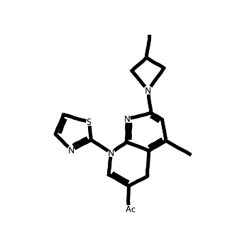 CC(=O)C1=CN(c2nccs2)c2nc(N3CC(C)C3)cc(C)c2C1